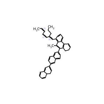 C\C=C/C=C\C(=C\c1cccc2c3c(c(-c4ccc5cc(C6=CCC7C=CC=CC7=C6)ccc5c4)c(C)c12)CCC=C3)CCC